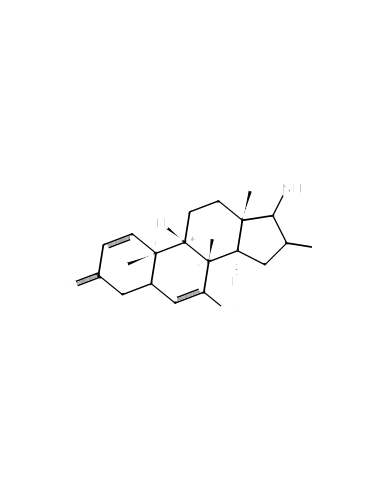 C[C@]12C=CC(=O)CC1C=C(O)[C@@H]1[C@H]2CC[C@]2(C)C(N)C(F)C[C@@H]12